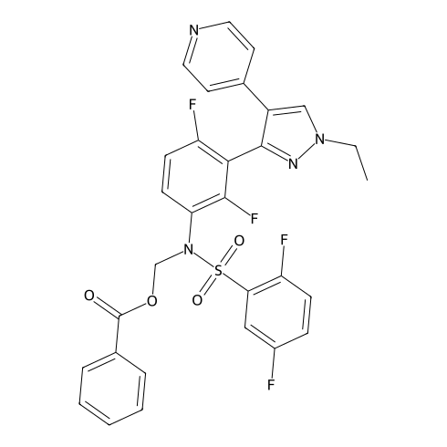 CCn1cc(-c2ccncc2)c(-c2c(F)ccc(N(COC(=O)c3ccccc3)S(=O)(=O)c3cc(F)ccc3F)c2F)n1